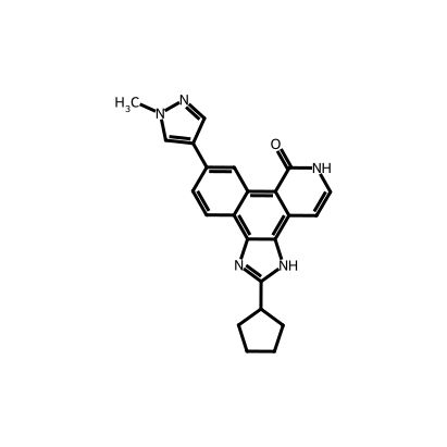 Cn1cc(-c2ccc3c(c2)c2c(=O)[nH]ccc2c2[nH]c(C4CCCC4)nc32)cn1